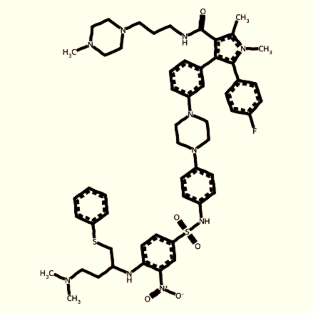 Cc1c(C(=O)NCCCN2CCN(C)CC2)c(-c2cccc(N3CCN(c4ccc(NS(=O)(=O)c5ccc(NC(CCN(C)C)CSc6ccccc6)c([N+](=O)[O-])c5)cc4)CC3)c2)c(-c2ccc(F)cc2)n1C